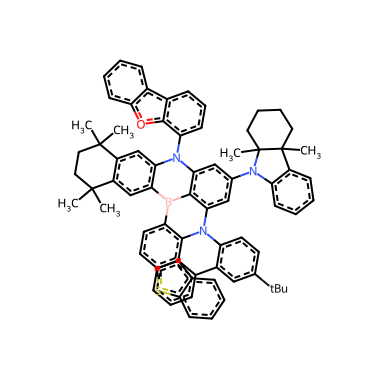 CC(C)(C)c1ccc(N2c3cc(N4c5ccccc5C5(C)CCCCC45C)cc4c3B(c3cc5c(cc3N4c3cccc4c3oc3ccccc34)C(C)(C)CCC5(C)C)c3ccc4sc5ccccc5c4c32)c(-c2ccccc2)c1